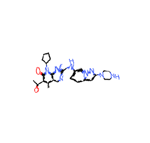 CC(=O)c1c(C)c2cnc(Nc3ccc4cc(N5CCNCC5)nn4c3)nc2n(C2CCCC2)c1=O